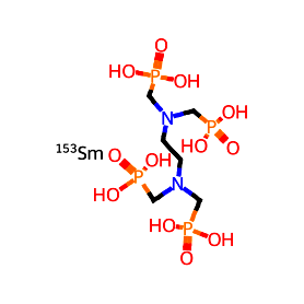 O=P(O)(O)CN(CCN(CP(=O)(O)O)CP(=O)(O)O)CP(=O)(O)O.[153Sm]